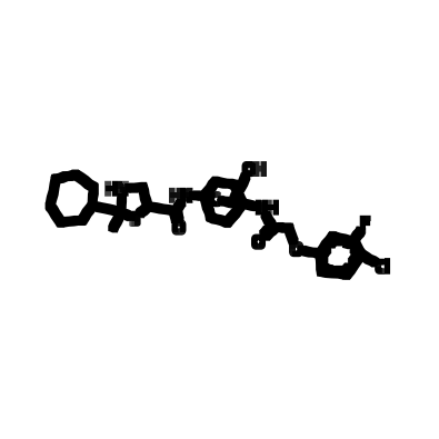 CC1(C2CCCCCC2)NCC(C(=O)NC23CCC(NC(=O)COc4ccc(Cl)c(F)c4)(CC2)C(O)C3)S1